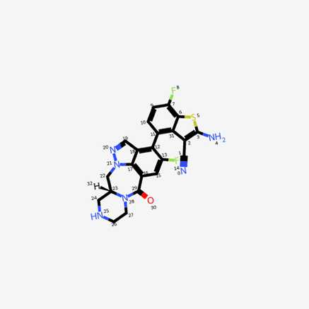 N#Cc1c(N)sc2c(F)ccc(-c3c(F)cc4c5c3cnn5C[C@H]3CNCCN3C4=O)c12